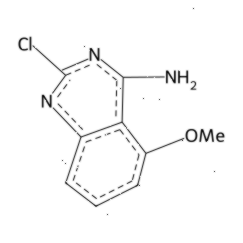 COc1cccc2nc(Cl)nc(N)c12